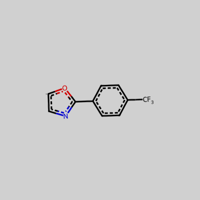 FC(F)(F)c1ccc(-c2nc[c]o2)cc1